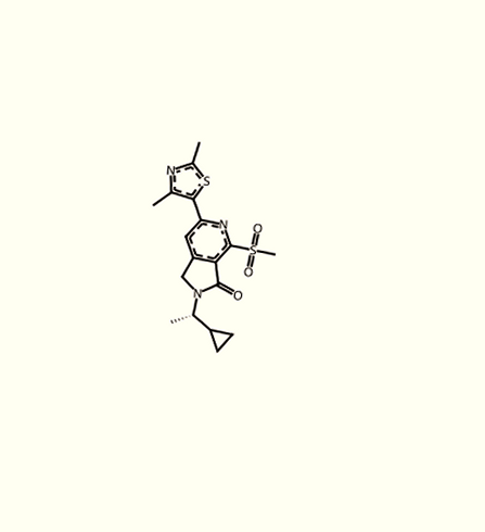 Cc1nc(C)c(-c2cc3c(c(S(C)(=O)=O)n2)C(=O)N([C@@H](C)C2CC2)C3)s1